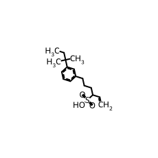 C=CC(CCCc1cccc(C(C)(C)CC)c1)S(=O)(=O)O